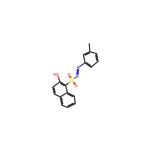 Cc1cccc(N=NS(=O)(=O)c2c(O)ccc3ccccc23)c1